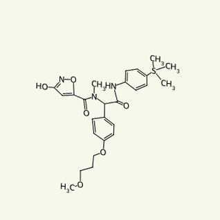 COCCCOc1ccc(C(C(=O)Nc2ccc(S(C)(C)C)cc2)N(C)C(=O)c2cc(O)no2)cc1